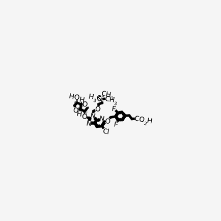 C[Si](C)(C)CCOCn1c(O[C@@H]2CO[C@H]3[C@@H]2OC[C@H]3O)nc2cc(Cl)c(OCc3c(F)cc(CCC(=O)O)cc3F)nc21